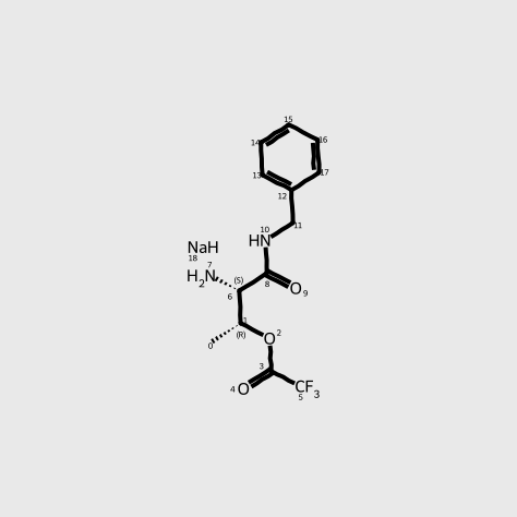 C[C@@H](OC(=O)C(F)(F)F)[C@H](N)C(=O)NCc1ccccc1.[NaH]